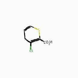 O=C(O)C1=C(Cl)CC=CS1